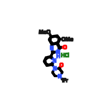 COc1cc(OC)c2c(=O)[nH]c(-c3cccc(N4CCN(C(C)C)CC4=O)n3)nc2c1.Cl